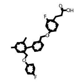 Cc1cc(C)c(-c2cccc(COc3ccc(CCC(=O)O)c(F)c3)c2)c(COc2ccc(F)cc2)c1